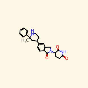 CC1(c2ccccc2)CC(c2ccc3c(c2)CN(C2CCC(=O)NC2=O)C3=O)CCN1